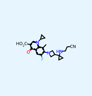 Cc1c(N2CC(C3(NCCC#N)CC3)C2)c(F)cc2c(=O)c(C(=O)O)cn(C3CC3)c12